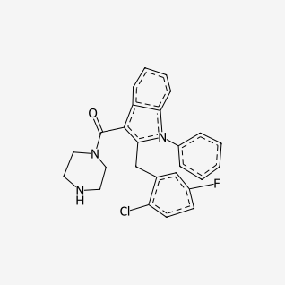 O=C(c1c(Cc2cc(F)ccc2Cl)n(-c2ccccc2)c2ccccc12)N1CCNCC1